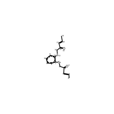 CC=CC(=O)CSc1ccccc1SCC(=O)C=CC